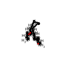 CC(C)(CCCCc1ccccc1CCCCC1(CC(=O)CCNC(=O)CCNC(=O)C(O)C(C)(C)COP(=O)(O)OP(=O)(O)OCC2OC(n3cnc4c(N)ncnc43)C(O)C2OP(=O)(O)O)CC1)CC(=O)CCNC(=O)CCNC(=O)C(O)C(C)(C)COP(=O)(O)OP(=O)(O)OCC1OC(n2cnc3c(N)ncnc32)C(O)C1OP(=O)(O)O